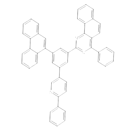 c1ccc(-c2ccc(-c3cc(-c4nc(-c5ccccc5)c5ccc6ccccc6c5n4)cc(-c4cc5ccccc5c5ccccc45)c3)cn2)cc1